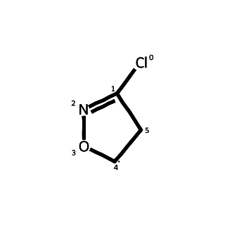 ClC1=NO[CH]C1